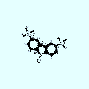 C[Si](C)(C)c1ccc2c(c1)c1cc([Si](C)(C)C)ccc1[s+]2[O-]